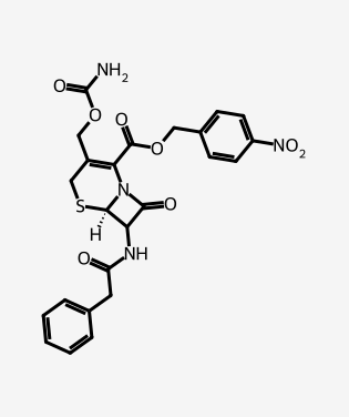 NC(=O)OCC1=C(C(=O)OCc2ccc([N+](=O)[O-])cc2)N2C(=O)C(NC(=O)Cc3ccccc3)[C@H]2SC1